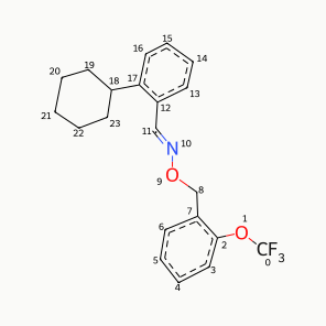 FC(F)(F)Oc1ccccc1CON=[C]c1ccccc1C1CCCCC1